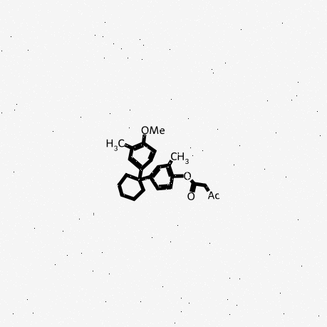 COc1ccc(C2(c3ccc(OC(=O)CC(C)=O)c(C)c3)CCCCC2)cc1C